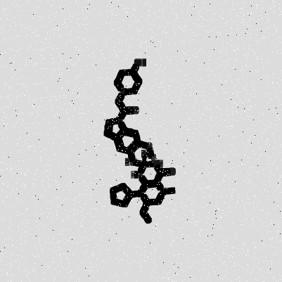 CCC1CN(C)C2=C(N[C@@](N)(Nc3cc4ccn(C(=O)CN5CCC(O)CC5)c4cc3OC)NC2=O)N1C1CCCC1